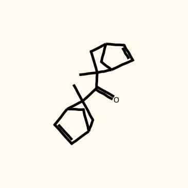 CC1(C(=O)C2(C)CC3C=CC2C3)CC2C=CC1C2